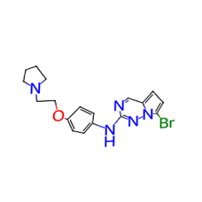 Brc1ccc2cnc(Nc3ccc(OCCN4CCCC4)cc3)nn12